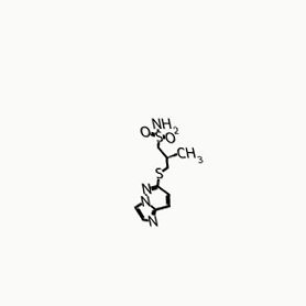 C[C@@H](CSc1ccc2nccn2n1)CS(N)(=O)=O